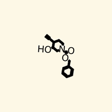 C#CC1CCN(C(=O)OCc2ccccc2)CC1O